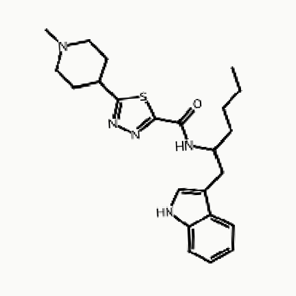 CCCCC(Cc1c[nH]c2ccccc12)NC(=O)c1nnc(C2CCN(C)CC2)s1